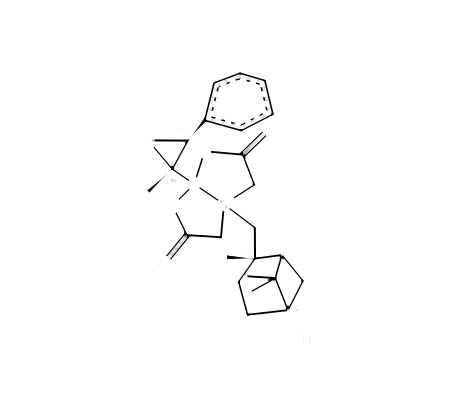 CC1(C)C2C[C@H]1CC[C@@H]2C[N+]12CC(=O)O[B-]1([C@]1(C)O[C@H]1c1ccccc1)OC(=O)C2